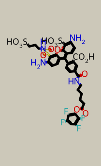 Nc1ccc2c(-c3ccc(C(=O)NCCCCCC(=O)Oc4c(F)c(F)cc(F)c4F)cc3C(=O)O)c3ccc(N)c(S(=O)(=O)NCCCS(=O)(=O)O)c3[o+]c2c1S(=O)(=O)O